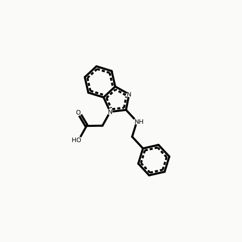 O=C(O)Cn1c(NCc2ccccc2)nc2ccccc21